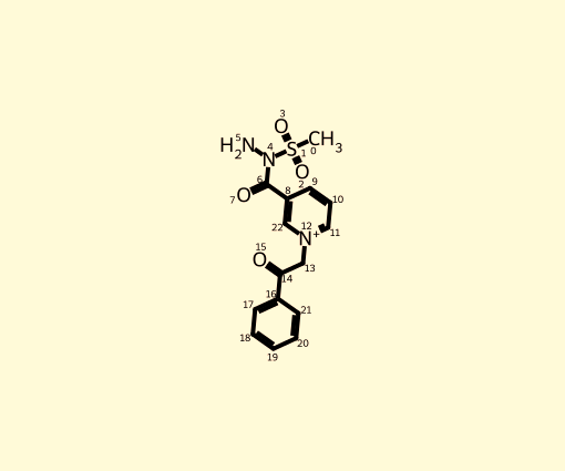 CS(=O)(=O)N(N)C(=O)c1ccc[n+](CC(=O)c2ccccc2)c1